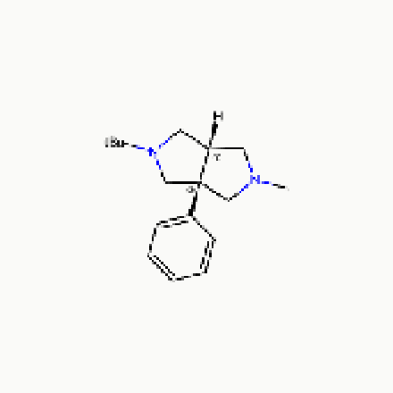 CN1C[C@H]2CN(C(C)(C)C)C[C@@]2(c2ccccc2)C1